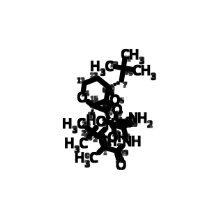 CC1=CN([C@@H]2O[C@]3(CC(C)(C)C)CCO[C@H]2C3OP(O)(=S)OC(C)(C)C)C(N)NC1=O